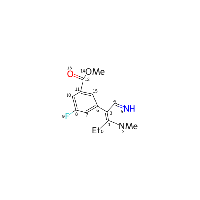 CC/C(NC)=C(/C=N)c1cc(F)cc(C(=O)OC)c1